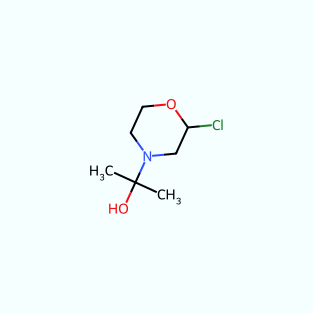 CC(C)(O)N1CCOC(Cl)C1